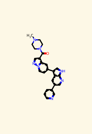 CN1CCN(C(=O)c2cnn3ccc(-c4c[nH]c5ncc(-c6cccnc6)cc45)cc23)CC1